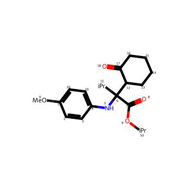 COc1ccc(NC(C(=O)OC(C)C)(C(C)C)C2CCCCC2=O)cc1